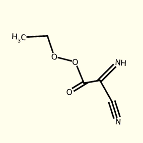 CCOOC(=O)C(=N)C#N